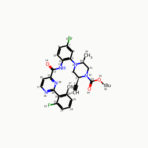 C#C[C@H]1CN(c2cc(Br)ccc2NC(=O)c2ccnc(-c3c(F)cccc3OC)n2)[C@@H](C)CN1C(=O)OC(C)(C)C